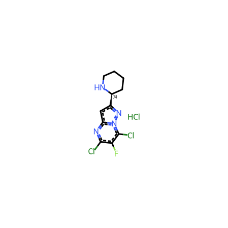 Cl.Fc1c(Cl)nc2cc([C@@H]3CCCCN3)nn2c1Cl